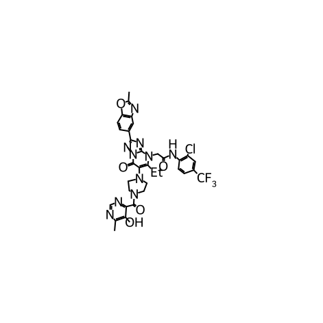 CCc1c(N2CCN(C(=O)c3ncnc(C)c3O)CC2)c(=O)n2nc(-c3ccc4oc(C)nc4c3)nc2n1CC(=O)Nc1ccc(C(F)(F)F)cc1Cl